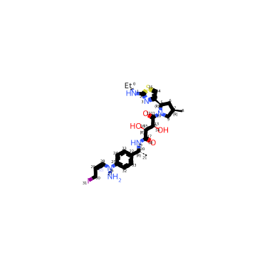 CCNc1nc([C@H]2C[C@@H](C)CN2C(=O)[C@H](O)[C@@H](O)C(=O)N[C@H](C)c2ccc(N(N)/C=C\CI)cc2)cs1